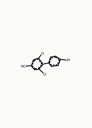 CCCc1ccc(-c2c(Cl)cc(C#N)cc2Cl)cc1